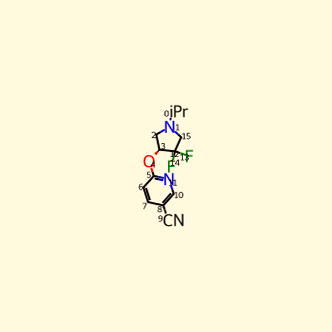 CC(C)N1C[C@H](Oc2ccc(C#N)cn2)C(F)(F)C1